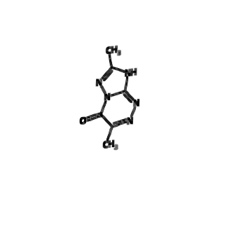 Cc1nn2c(=O)c(C)nnc2[nH]1